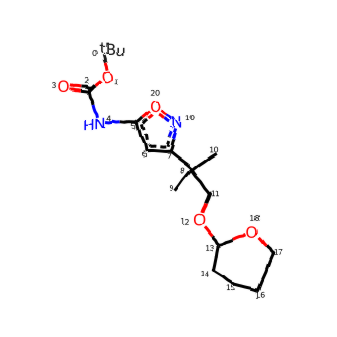 CC(C)(C)OC(=O)Nc1cc(C(C)(C)COC2CCCCO2)no1